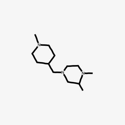 CC1CN(CC2CCN(C)CC2)CCN1C